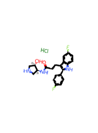 Cl.O=C(CCc1c(-c2ccc(F)cc2)[nH]c2ccc(F)cc12)N[C@H]1CNC[C@@H]1O